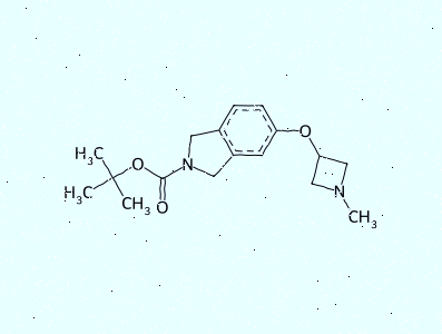 CN1CC(Oc2ccc3c(c2)CN(C(=O)OC(C)(C)C)C3)C1